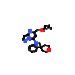 COCc1cc(NCC2(c3ccccc3)CCOCC2)n2nccc2n1